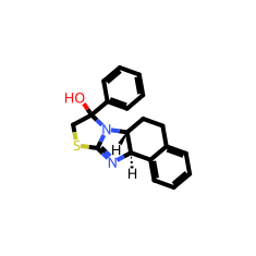 OC1(c2ccccc2)CSC2=N[C@@H]3c4ccccc4CC[C@H]3N21